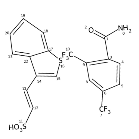 NC(=O)c1ccc(C(F)(F)F)cc1C(F)(F)F.O=S(=O)(O)/C=C/c1csc2ccccc12